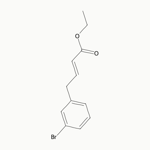 CCOC(=O)C=CCc1cccc(Br)c1